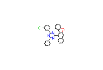 Clc1cccc(-c2nc(-c3ccccc3)nc(-c3c4ccccc4cc4oc5ccccc5c34)n2)c1